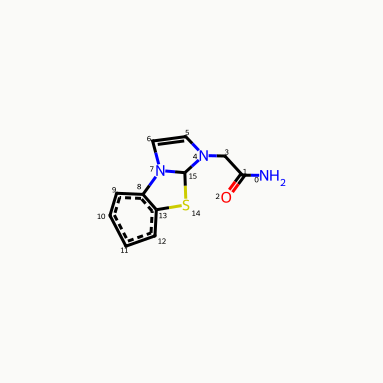 NC(=O)CN1C=CN2c3ccccc3SC12